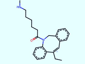 CC/C1=C/c2ccccc2CN(C(=O)CCCCCNC)c2ccccc21